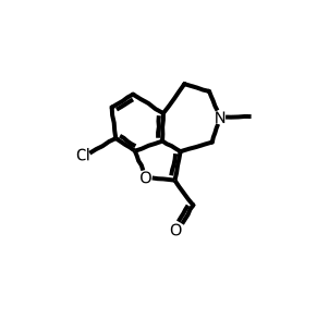 CN1CCc2ccc(Cl)c3oc(C=O)c(c23)C1